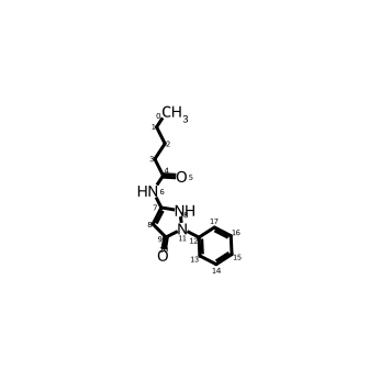 CCCCC(=O)Nc1cc(=O)n(-c2ccccc2)[nH]1